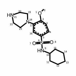 COc1ccc(S(=O)(=O)NC2CCCCC2)cc1N1CCNCC1